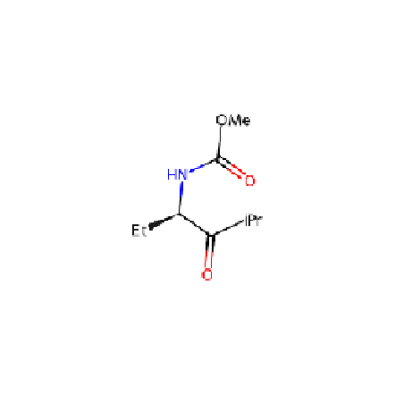 CC[C@@H](NC(=O)OC)C(=O)C(C)C